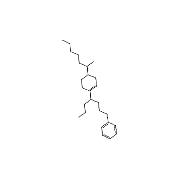 CCCCCC(C)C1CC=C(C(CCC)CCCc2ccccc2)CC1